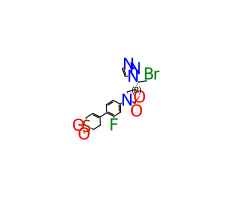 O=C1O[C@@H](C(CBr)n2ccnn2)CN1c1ccc(C2=CCS(=O)(=O)CC2)c(F)c1